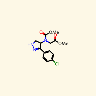 COC(=O)CN(C(=O)OC)C1CNN=C1c1ccc(Cl)cc1